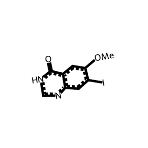 COc1cc2c(=O)[nH]cnc2cc1I